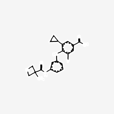 CC1(C(=O)Nc2cccc(Nc3c(F)cc(C(=O)O)cc3C3CC3)c2)COC1